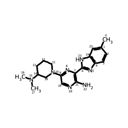 Cc1ccc2nc(-c3nc(N4CCCC(N(C)C)C4)cnc3N)[nH]c2c1